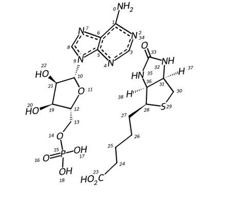 Nc1ncnc2c1ncn2[C@@H]1O[C@H](COP(=O)(O)O)[C@@H](O)[C@H]1O.O=C(O)CCCC[C@@H]1SC[C@@H]2NC(=O)N[C@@H]21